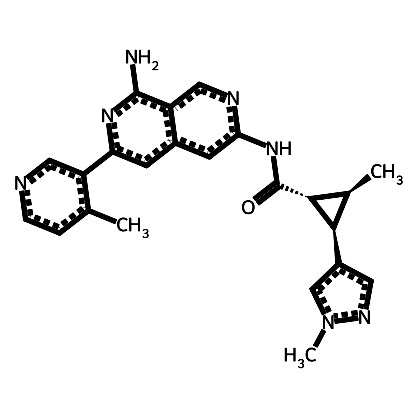 Cc1ccncc1-c1cc2cc(NC(=O)[C@@H]3[C@@H](C)[C@H]3c3cnn(C)c3)ncc2c(N)n1